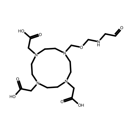 O=CCNCOCN1CCN(CC(=O)O)CCN(CC(=O)O)CCN(CC(=O)O)CC1